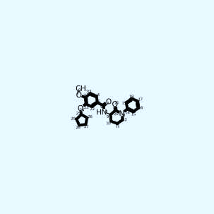 COc1ccc(C(=O)N[C@H]2CCCN(c3ccccc3)C2=O)cc1OC1CCCC1